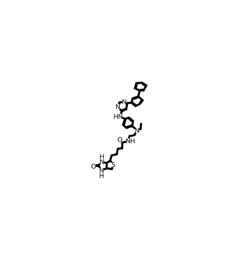 CCN(CCNC(=O)CCCCC1SCC2NC(=O)NC21)c1ccc(Nc2cc(-c3cccc(-c4ccccc4)c3)ncn2)cc1